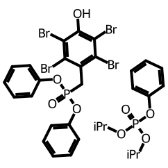 CC(C)OP(=O)(Oc1ccccc1)OC(C)C.O=P(Cc1c(Br)c(Br)c(O)c(Br)c1Br)(Oc1ccccc1)Oc1ccccc1